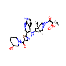 C[C@H](O)C(=O)N1C[C@H]2CC(Nc3c(-c4ncc(C(=O)N5CCCC(O)C5)s4)cnc4[nH]ccc34)C[C@H]2C1